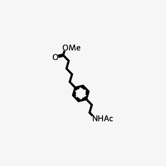 COC(=O)CCCCc1ccc(CCNC(C)=O)cc1